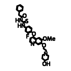 COc1cc2c(Oc3ccc(NC(=S)NC(=O)Cc4ccccc4)cc3F)ccnc2cc1OCCN1CCC(O)CC1